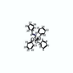 C(=C\[Si](Oc1ccccc1)(Oc1ccccc1)Oc1ccccc1)/c1ccccc1